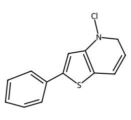 ClN1CC=Cc2sc(-c3ccccc3)cc21